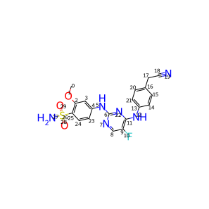 COc1cc(Nc2ncc(F)c(Nc3ccc(CC#N)cc3)n2)ccc1S(N)(=O)=O